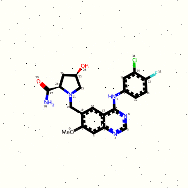 COc1cc2ncnc(Nc3ccc(F)c(Cl)c3)c2cc1CN1C[C@H](O)C[C@@H]1C(N)=O